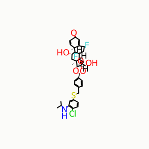 CC(C)Nc1cc(SCc2ccc([C@@H]3O[C@@H]4C[C@H]5[C@@H]6C[C@H](F)C7=CC(=O)C=C[C@]7(C)[C@@]6(F)[C@@H](O)C[C@]5(C)[C@]4(C(=O)CO)O3)cc2)ccc1Cl